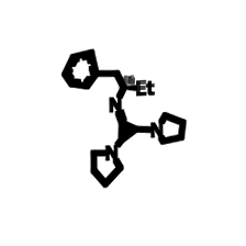 CC[C@H](Cc1ccccc1)N=c1c(N2CCCC2)c1N1CCCC1